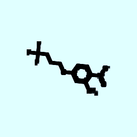 Nc1cc(OCCCC(F)(F)F)ccc1[N+](=O)[O-]